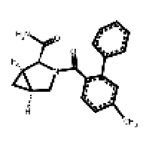 Cc1ccc(C(=O)N2C[C@H]3C[C@H]3[C@H]2C(N)=O)c(-c2ccccc2)c1